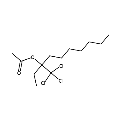 CCCCCCCC(CC)(OC(C)=O)C(Cl)(Cl)Cl